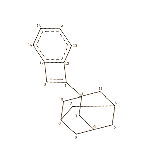 C1=C(C23CC4CC(CC(C4)C2)C3)c2ccccc21